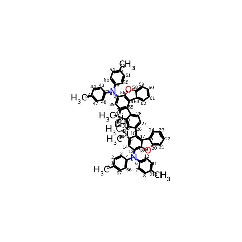 Cc1ccc(N(c2ccc(C)cc2)c2cc3c(c4c2oc2ccccc24)-c2ccc4c(c2[Si]3(C)C)[Si](C)(C)c2cc(N(c3ccc(C)cc3)c3ccc(C)cc3)c3oc5ccccc5c3c2-4)cc1